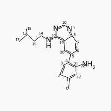 Cc1ccc(-c2ccc3ncnc(NCCC(C)C)c3c2)c(N)c1